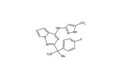 Cc1cc(Nc2nc(C(N)(c3ccc(F)cc3)C(C)(C)C)nn3cccc23)n[nH]1